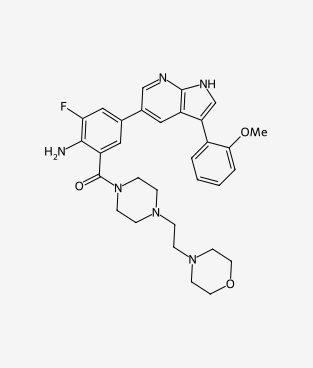 COc1ccccc1-c1c[nH]c2ncc(-c3cc(F)c(N)c(C(=O)N4CCN(CCN5CCOCC5)CC4)c3)cc12